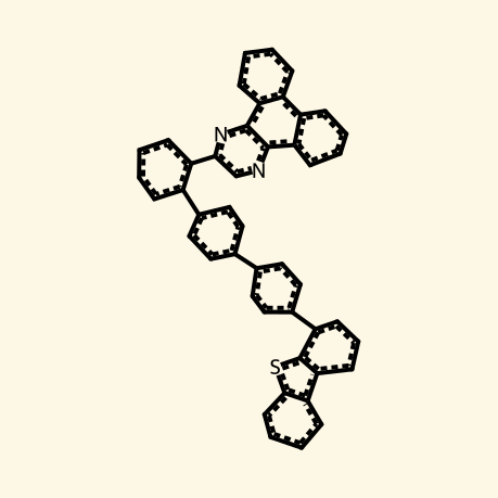 c1ccc(-c2cnc3c4ccccc4c4ccccc4c3n2)c(-c2ccc(-c3ccc(-c4cccc5c4sc4ccccc45)cc3)cc2)c1